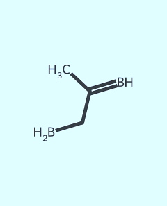 B=C(C)CB